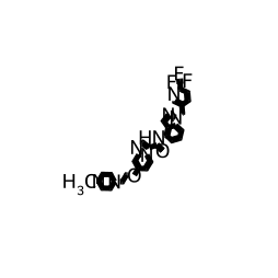 CN1CCN(CCOc2ccn3c(C(=O)Nc4cccc5c4cnn5Cc4ccc(C(F)(F)F)nc4)cnc3c2)CC1